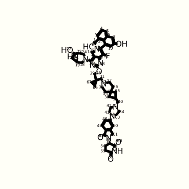 C#Cc1cccc2cc(O)cc(-c3ncc4c(N5CC6CC(O)C(C5)N6)nc(OCC5(CN6CCC7(CC6)CC(CN6CCN(c8ccc9c(c8)CN([C@H]8CCC(=O)NC8=O)C9=O)CC6)C7)CC5)nc4c3F)c12